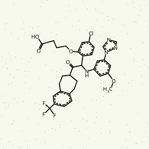 COc1cc(NC(C(=O)C2CCc3ccc(C(F)(F)F)cc3CC2)c2ccc(Cl)cc2OCCCC(=O)O)cc(-n2cncn2)c1